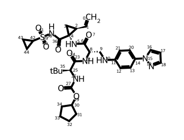 C=C[C@@H]1C[C@]1(NC(=O)[C@H](CNc1ccc(-n2cccn2)cc1)NC(=O)[C@@H](NC(=O)OC1CCCC1)C(C)(C)C)C(=O)NS(=O)(=O)C1CC1